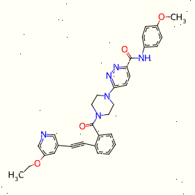 CCOc1cncc(C#Cc2ccccc2C(=O)N2CCN(c3ccc(C(=O)Nc4ccc(OC)cc4)nn3)CC2)c1